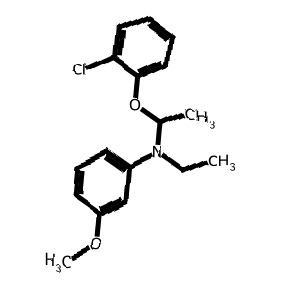 CCN(c1cccc(OC)c1)C(C)Oc1ccccc1Cl